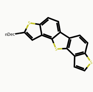 CCCCCCCCCCc1cc2c(ccc3c4ccc5sccc5c4sc23)s1